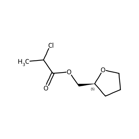 CC(Cl)C(=O)OC[C@@H]1CCCO1